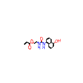 C=CC(=O)OCCNC(=O)Nc1cccc2c(O)cccc12